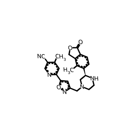 Cc1cc(-c2cc(CN3CCN[C@H](c4ccc5c(c4C)COC5=O)C3)no2)ncc1C#N